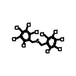 Clc1c(Cl)c(Cl)c(CSCc2c(Cl)c(Cl)c(Cl)c(Cl)c2Cl)c(Cl)c1Cl